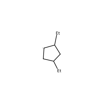 CCC1[CH]CC(CC)C1